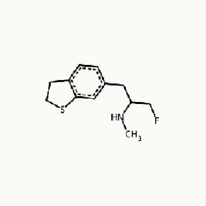 CNC(CF)Cc1ccc2c(c1)SCC2